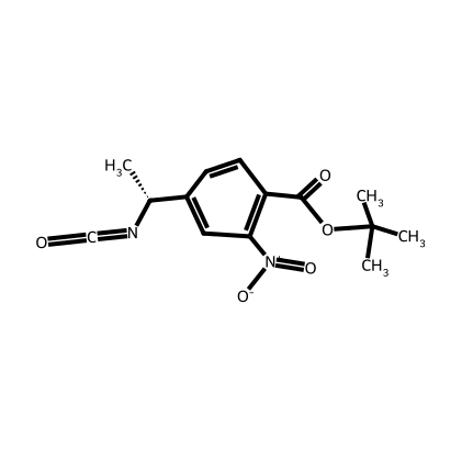 C[C@@H](N=C=O)c1ccc(C(=O)OC(C)(C)C)c([N+](=O)[O-])c1